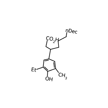 CCCCCCCCCCCCCC(CC(=O)O)c1cc(C)c(O)c(CC)c1